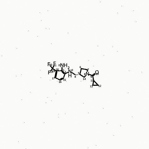 Nc1c(NC[C@@H]2CCN(C(=O)C3CC3)C2)cccc1C(F)(F)F